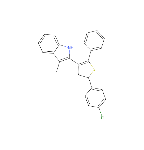 Cc1c(C2=C(c3ccccc3)SC(c3ccc(Cl)cc3)C2)[nH]c2ccccc12